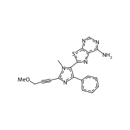 COCC#Cc1nc(-c2ccccc2)c(-c2nc3c(N)ncnc3s2)n1C